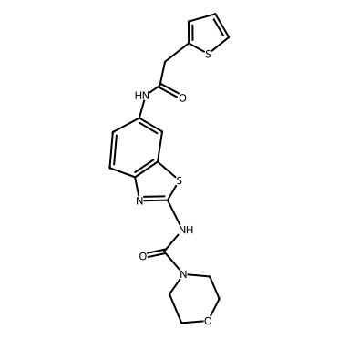 O=C(Cc1cccs1)Nc1ccc2nc(NC(=O)N3CCOCC3)sc2c1